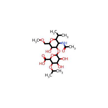 COCC1OC(C(C)C)C(NC(C)=O)C(OC2OC(C(=O)O)C(OC(C)C)C(O)C2O)C1O